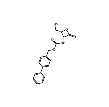 CC(C)C[C@H]1OC(=O)[C@@H]1NC(=O)OCc1ccc(-c2ccccc2)cc1